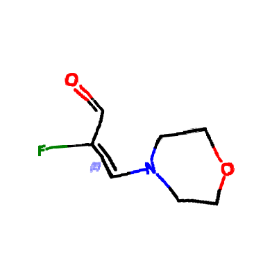 O=C/C(F)=C\N1CCOCC1